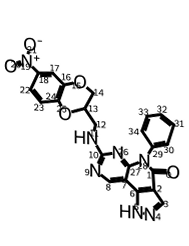 O=c1c2cn[nH]c2c2cnc(NCC3COc4cc([N+](=O)[O-])ccc4O3)nc2n1-c1ccccc1